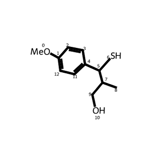 COc1ccc(C(S)C(C)CO)cc1